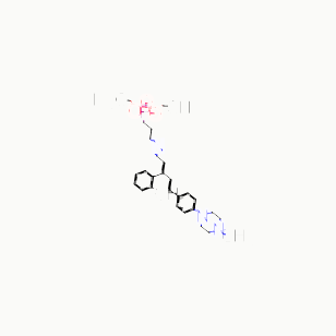 CCOP(=O)(CCC/N=C/C=C(/C=Cc1ccc(N2CCN(C)CC2)cc1)c1ccccc1C)OCC